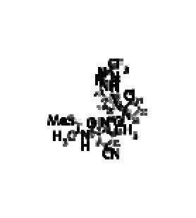 CSC[C@H](C)NC(=O)c1cc(C#N)cc(C)c1NC(=O)c1cc(CN/N=N\C(=N)C(F)(F)F)nn1-c1ncccc1Cl